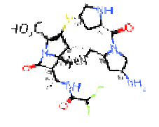 CNC[C@@H]1C[C@H](N)CN1C(=O)[C@@H]1C[C@H](SC2=C(C(=O)O)N3C(=O)[C@H]([C@@H](C)NC(=O)C(F)F)[C@H]3[C@H]2C)CN1